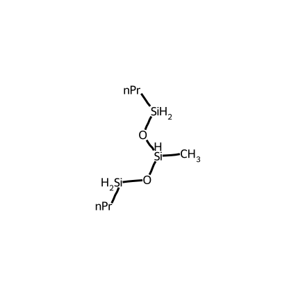 CCC[SiH2]O[SiH](C)O[SiH2]CCC